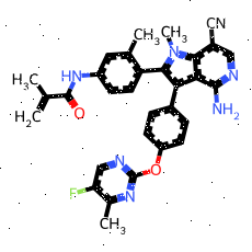 C=C(C)C(=O)Nc1ccc(-c2c(-c3ccc(Oc4ncc(F)c(C)n4)cc3)c3c(N)ncc(C#N)c3n2C)c(C)c1